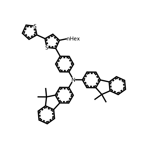 CCCCCCc1cc(-c2cccs2)sc1-c1ccc(N(c2ccc3c(c2)C(C)(C)c2ccccc2-3)c2ccc3c(c2)C(C)(C)c2ccccc2-3)cc1